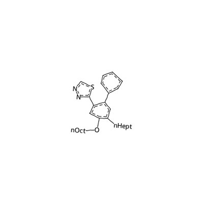 CCCCCCCCOc1cc(-c2nncs2)c(-c2ccccc2)cc1CCCCCCC